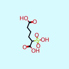 O=C(O)CCCC(C(=O)O)S(=O)(=O)O